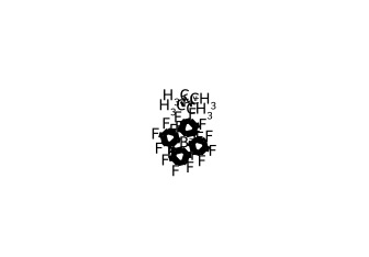 C[N+](C)(C)C.Fc1c(F)c(F)c([B-](c2c(F)c(F)c(F)c(F)c2F)(c2c(F)c(F)c(F)c(F)c2F)c2c(F)c(F)c(F)c(F)c2F)c(F)c1F